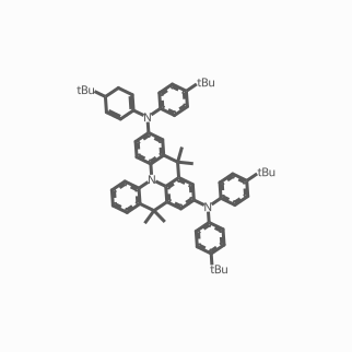 CC(C)(C)c1ccc(N(C2=CCC(C(C)(C)C)C=C2)c2ccc3c(c2)C(C)(C)c2cc(N(c4ccc(C(C)(C)C)cc4)c4ccc(C(C)(C)C)cc4)cc4c2N3c2ccccc2C4(C)C)cc1